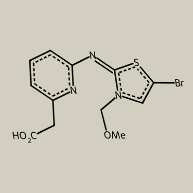 COCn1cc(Br)sc1=Nc1cccc(CC(=O)O)n1